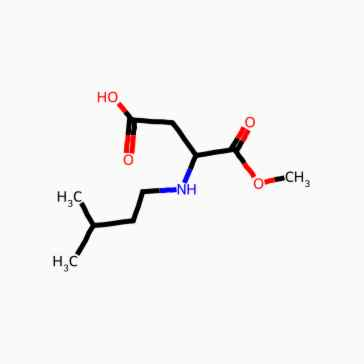 COC(=O)C(CC(=O)O)NCCC(C)C